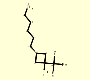 CCCCCC[C@H]1C[C@](O)(C(F)(F)F)C1